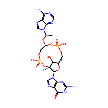 C[C@@H](O[C@@H]1COP(=O)(O)O[C@H]2C(O)[C@@H](COP(=O)(O)O1)O[C@H]2n1cnc2c(=O)[nH]c(N)nc21)n1cnc2c(N)ncnc21